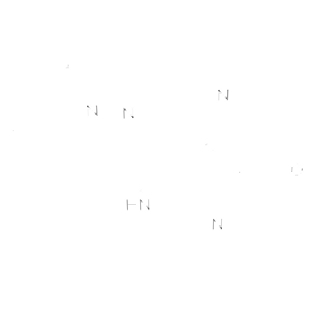 O=c1nc[nH]c2c1ncn2N1CCCC1